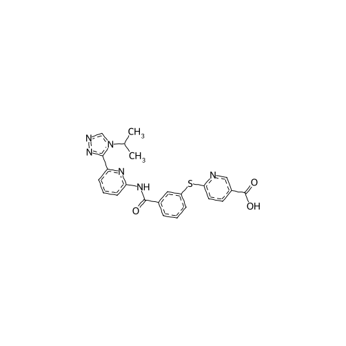 CC(C)n1cnnc1-c1cccc(NC(=O)c2cccc(Sc3ccc(C(=O)O)cn3)c2)n1